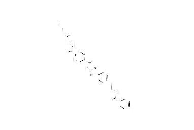 CCCOC(=O)CNC(=O)c1ccc(C(=O)NS(=O)(=O)c2ccc(CCNC(=O)c3ccc(Cl)cc3)cc2)cn1